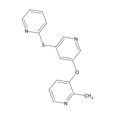 Cc1ncccc1Oc1cncc(Sc2ccccn2)c1